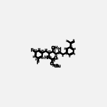 C=C(C)c1cccc(CNCC(O)C(Cc2cc(F)cc(F)c2)NC(=O)OC(C)(C)C)c1